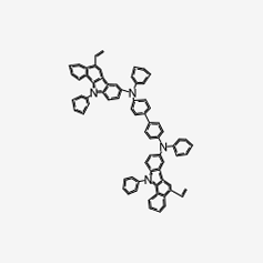 C=Cc1cc2c3cc(N(c4ccccc4)c4ccc(-c5ccc(N(c6ccccc6)c6ccc7c(c6)c6cc(C=C)c8ccccc8c6n7-c6ccccc6)cc5)cc4)ccc3n(-c3ccccc3)c2c2ccccc12